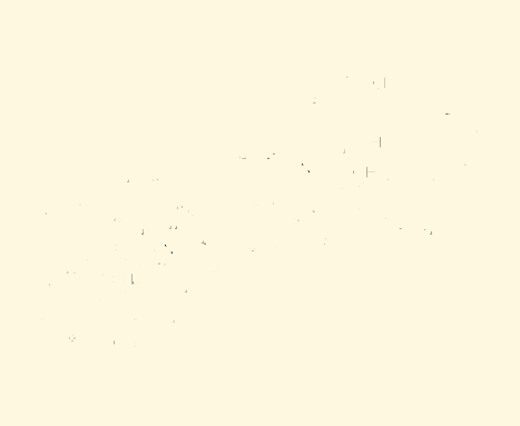 CCc1ccc(N(c2cccc(-c3cccc(-c4ccccc4C)c3)c2O)c2ccc3ccc4c(N(c5ccc(CC)cc5)c5cccc6c5oc5c(-c7ccccc7C)cccc56)ccc5ccc2c3c54)cc1